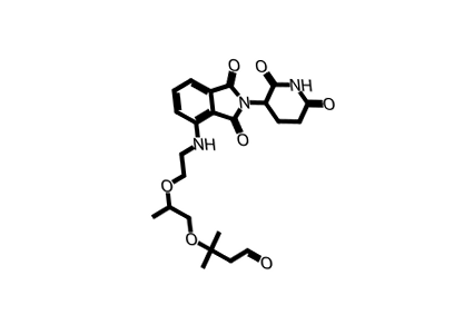 CC(COC(C)(C)CC=O)OCCNc1cccc2c1C(=O)N(C1CCC(=O)NC1=O)C2=O